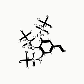 C=Cc1cc(O[Si](C)(C)C(C)(C)C)c(O[Si](C)(C)C(C)(C)C)c(O[Si](C)(C)C(C)(C)C)c1